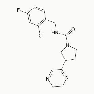 O=C(NCc1ccc(F)cc1Cl)N1CCC(c2cnccn2)C1